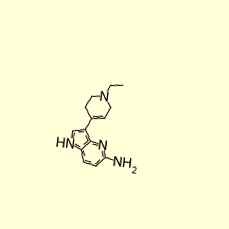 CCN1CC=C(c2c[nH]c3ccc(N)nc23)CC1